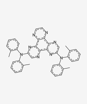 Cc1ccccc1N(c1cnc2c3nccnc3c3nc(N(c4ccccc4C)c4ccccc4C)cnc3c2n1)c1ccccc1C